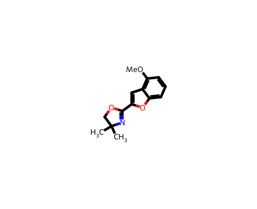 COc1cccc2oc(C3=NC(C)(C)CO3)cc12